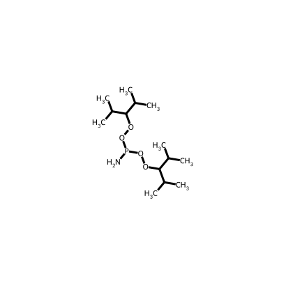 CC(C)C(OOP(N)OOC(C(C)C)C(C)C)C(C)C